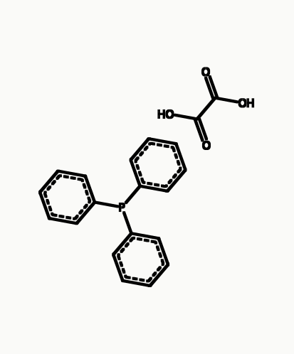 O=C(O)C(=O)O.c1ccc(P(c2ccccc2)c2ccccc2)cc1